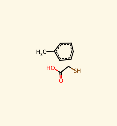 Cc1ccccc1.O=C(O)CS